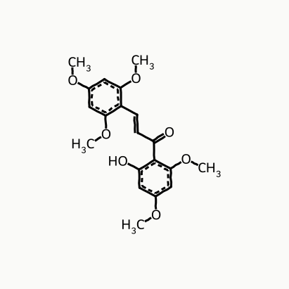 COc1cc(OC)c(/C=C/C(=O)c2c(O)cc(OC)cc2OC)c(OC)c1